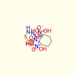 [O-][N+](O)(O)C1(C2=NNSC=C2)CCCCCC1([N+]([O-])(O)O)[N+]([O-])(O)O